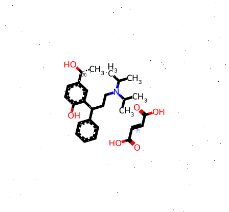 CC(C)N(CCC(c1ccccc1)c1cc([C@@H](C)O)ccc1O)C(C)C.O=C(O)/C=C/C(=O)O